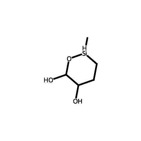 C[SiH]1CCC(O)C(O)O1